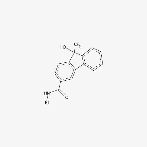 CCNC(=O)c1ccc2c(c1)-c1ccccc1C2(O)C(F)(F)F